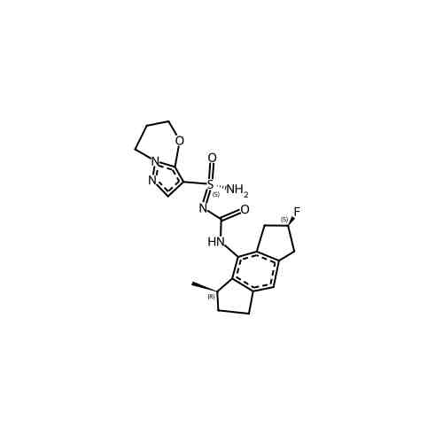 C[C@@H]1CCc2cc3c(c(NC(=O)N=[S@](N)(=O)c4cnn5c4OCCC5)c21)C[C@@H](F)C3